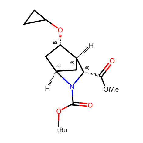 COC(=O)[C@H]1[C@H]2C[C@H](C[C@@H]2OC2CC2)N1C(=O)OC(C)(C)C